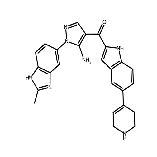 Cc1nc2cc(-n3ncc(C(=O)c4cc5cc(C6=CCNCC6)ccc5[nH]4)c3N)ccc2[nH]1